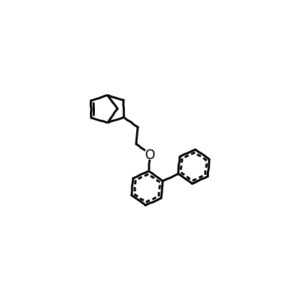 C1=CC2CC1CC2CCOc1ccccc1-c1ccccc1